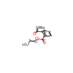 COC(=O)C1C2C=CC(C2)C1C(=O)OCCS(=O)(=O)O